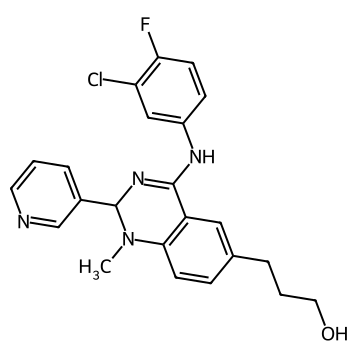 CN1c2ccc(CCCO)cc2C(Nc2ccc(F)c(Cl)c2)=NC1c1cccnc1